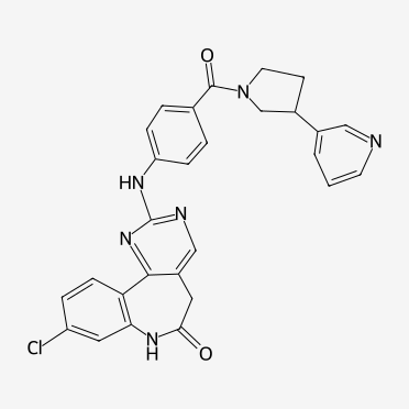 O=C1Cc2cnc(Nc3ccc(C(=O)N4CCC(c5cccnc5)C4)cc3)nc2-c2ccc(Cl)cc2N1